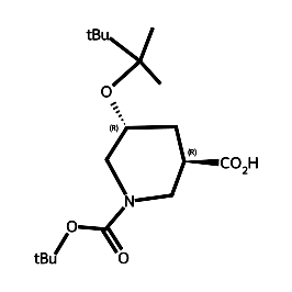 CC(C)(C)OC(=O)N1C[C@H](OC(C)(C)C(C)(C)C)C[C@@H](C(=O)O)C1